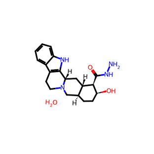 NNC(=O)[C@@H]1[C@H]2C[C@H]3c4[nH]c5ccccc5c4CCN3C[C@@H]2CC[C@@H]1O.O